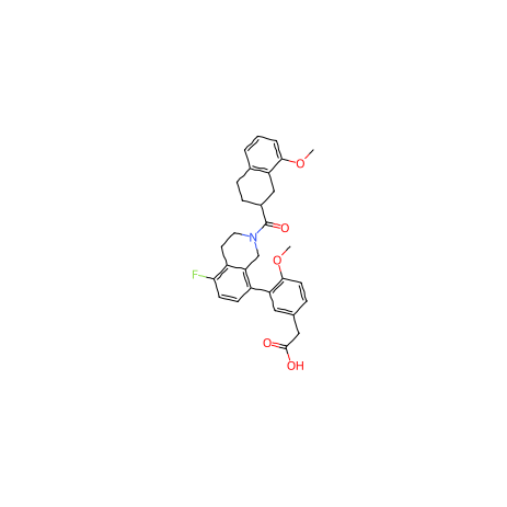 COc1ccc(CC(=O)O)cc1-c1ccc(F)c2c1CN(C(=O)C1CCc3cccc(OC)c3C1)CC2